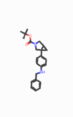 CC(C)(C)OC(=O)N1CC2CC2(c2ccc(NCc3ccccc3)cc2)C1